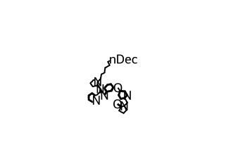 CCCCCCCCCCCCCCCCN1CCCC1n1c(-c2ccccn2)nc2cc(Oc3ccc(CN4CCCC4=O)nc3)ccc21